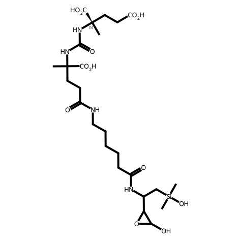 CC(CCC(=O)NCCCCCC(=O)NC(C[Si](C)(C)O)C1OC1O)(NC(=O)N[C@@](C)(CCC(=O)O)C(=O)O)C(=O)O